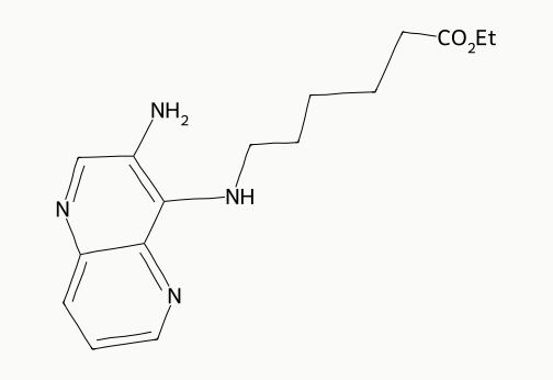 CCOC(=O)CCCCCNc1c(N)cnc2cccnc12